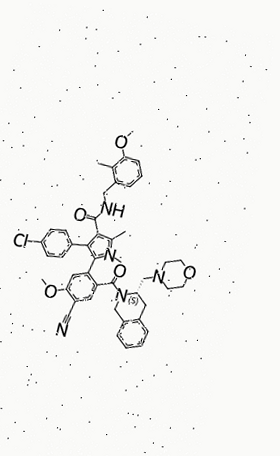 COc1cc(-c2c(-c3ccc(Cl)cc3)c(C(=O)NCc3cccc(OC)c3C)c(C)n2C)c(C(=O)N2Cc3ccccc3C[C@H]2CN2CCOCC2)cc1C#N